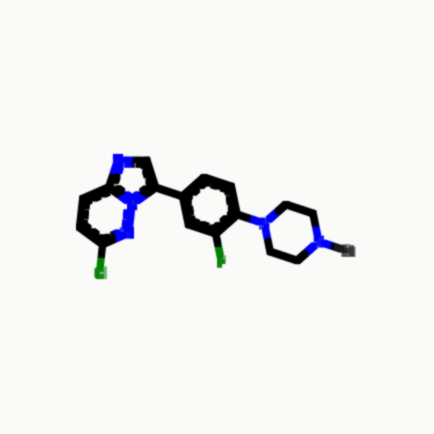 CCN1CCN(c2ccc(-c3cnc4ccc(Cl)nn34)cc2F)CC1